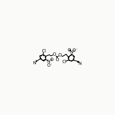 N#Cc1cc(Cl)c(CCOC(=O)OCCc2c(Cl)cc(C#N)cc2[N+](=O)[O-])c([N+](=O)[O-])c1